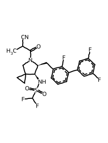 CC(C#N)C(=O)N1CC2(CC2)[C@H](NS(=O)(=O)C(F)F)[C@@H]1Cc1cccc(-c2cc(F)cc(F)c2)c1F